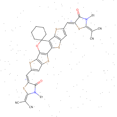 CCn1c(=C(C#N)C#N)s/c(=C\c2cc3sc4c(c3s2)C2(CCCCC2)Oc2c-4sc3cc(/C=c4/sc(=C(C#N)C#N)n(CC)c4=O)sc23)c1=O